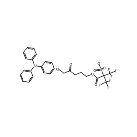 O=C(CCl)CCCOC(=O)C(C(F)(F)F)(C(F)(F)F)S(=O)(=O)[O-].c1ccc([S+](c2ccccc2)c2ccccc2)cc1